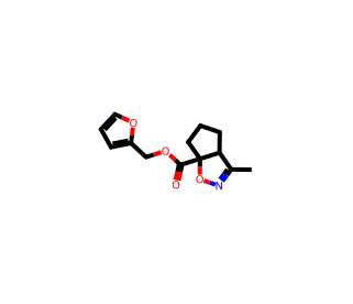 CC1=NOC2(C(=O)OCc3ccco3)CCCC12